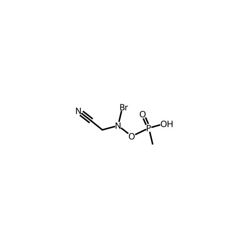 CP(=O)(O)ON(Br)CC#N